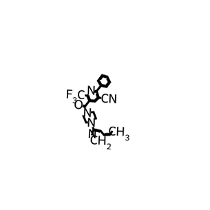 C=N/C(=C\C=C/C)N1CCN(C(=O)c2cc(C#N)c(-c3ccccc3)nc2C(F)(F)F)CC1